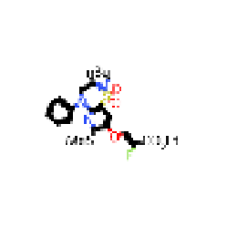 CCCCC1CN(c2ccccc2)c2nc(SC)c(O/C=C(\F)C(=O)OCC)cc2S(=O)(=O)N1C